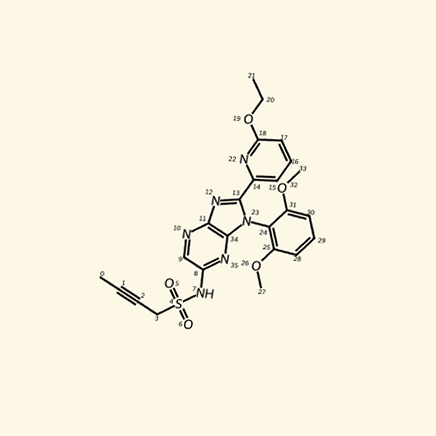 CC#CCS(=O)(=O)Nc1cnc2nc(-c3cccc(OCC)n3)n(-c3c(OC)cccc3OC)c2n1